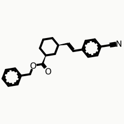 N#Cc1ccc(/C=C/[C@@H]2CCC[C@H](C(=O)OCc3ccccc3)C2)cc1